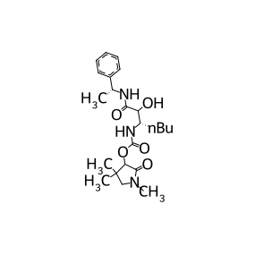 CCCC[C@H](NC(=O)OC1C(=O)N(C)CC1(C)C)C(O)C(=O)N[C@H](C)c1ccccc1